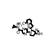 Cc1cccc2cc([C@H]3c4nc[nH]c4CCN3c3cnc(C(=O)NC4CC4)cn3)nn12